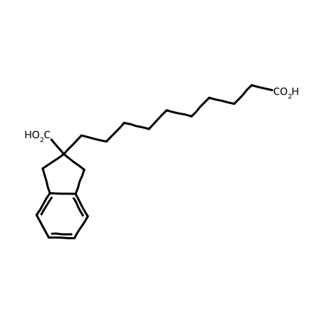 O=C(O)CCCCCCCCCC1(C(=O)O)Cc2ccccc2C1